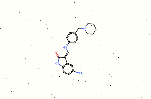 Nc1ccc2c(c1)/C(=C/Nc1ccc(CN3CCCCC3)cc1)C(=O)N2